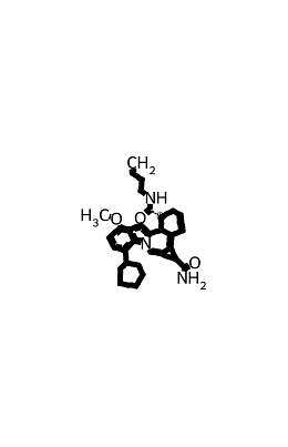 C=CCCNC(=O)[C@@H]1CC=CC2=C3C(=Cn4c(cc5c(OC)ccc(C6CCCCC6)c54)C21)C3C(N)=O